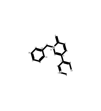 C=C1C=CC(C(/C=N\C)=C/C)=CN1Cc1ccccc1